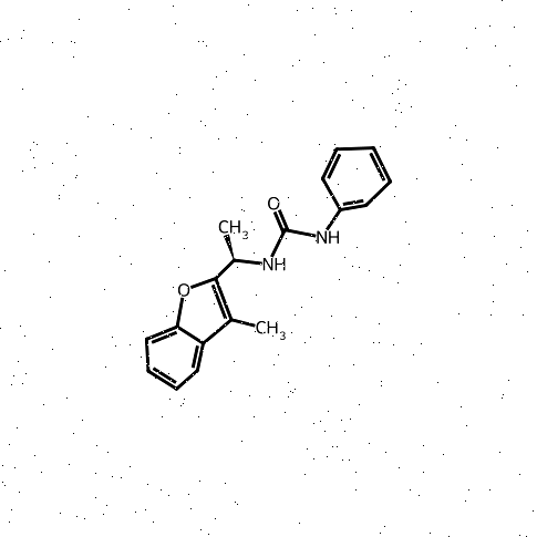 Cc1c([C@@H](C)NC(=O)Nc2ccccc2)oc2ccccc12